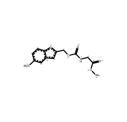 CSc1ccc2sc(COC(=O)NCC(=O)OC(C)(C)C)cc2c1